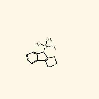 [CH3][Ti]([CH3])([CH3])[CH]1C2=C(CCCC2)c2ccccc21